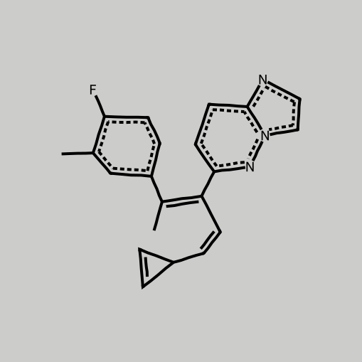 C/C(=C(\C=C/C1C=C1)c1ccc2nccn2n1)c1ccc(F)c(C)c1